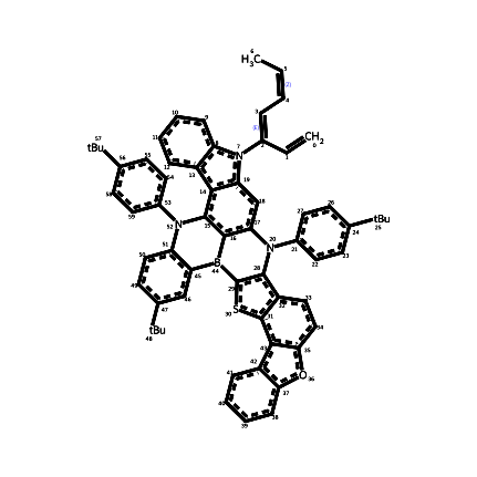 C=C/C(=C\C=C/C)n1c2ccccc2c2c3c4c(cc21)N(c1ccc(C(C)(C)C)cc1)c1c(sc2c1ccc1oc5ccccc5c12)B4c1cc(C(C)(C)C)ccc1N3c1ccc(C(C)(C)C)cc1